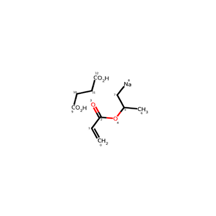 C=CC(=O)OC(C)[CH2][Na].O=C(O)CCC(=O)O